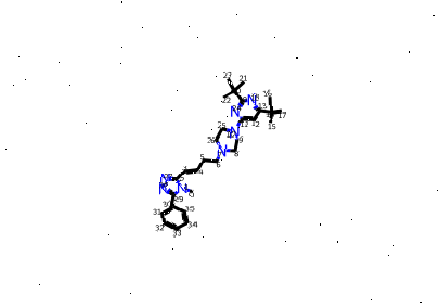 Cn1c(C=CCCN2CCN(c3cc(C(C)(C)C)nc(C(C)(C)C)n3)CC2)nnc1-c1ccccc1